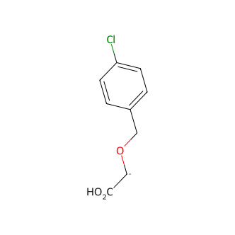 O=C(O)[CH]OCc1ccc(Cl)cc1